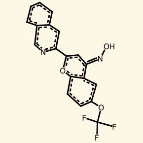 ON=c1cc(-c2cc3ccccc3cn2)oc2ccc(OC(F)(F)F)cc12